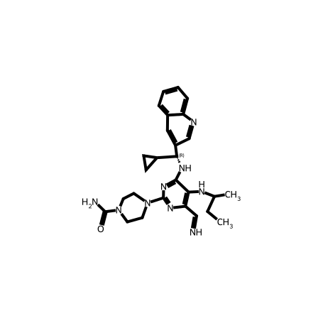 CCC(C)Nc1c(C=N)nc(N2CCN(C(N)=O)CC2)nc1N[C@@H](c1cnc2ccccc2c1)C1CC1